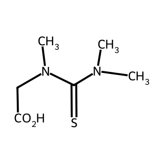 CN(C)C(=S)N(C)CC(=O)O